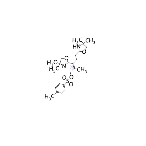 C/C(COS(=O)(=O)c1ccc(C)cc1)=C(\CCC1NC(C)(C)CO1)C1=NC(C)(C)CO1